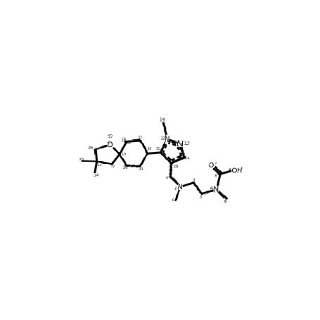 CN(CCN(C)C(=O)O)Cc1cnn(C)c1C1CCC2(CC1)CC(C)(C)CO2